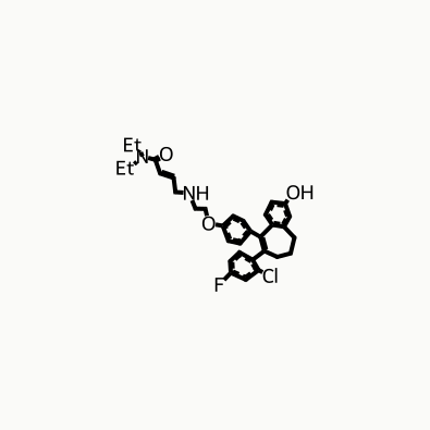 CCN(CC)C(=O)/C=C/CNCCOc1ccc(C2=C(c3ccc(F)cc3Cl)CCCc3cc(O)ccc32)cc1